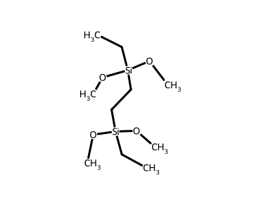 CC[Si](CC[Si](CC)(OC)OC)(OC)OC